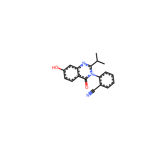 CC(C)c1nc2cc(O)ccc2c(=O)n1-c1ccccc1C#N